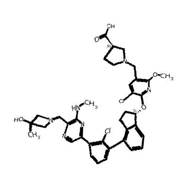 CNc1nc(-c2cccc(-c3cccc4c3CC[C@@H]4Oc3nc(OC)c(CN4CC[C@@H](C(=O)O)C4)cc3Cl)c2Cl)cnc1CN1CC(C)(O)C1